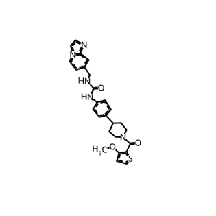 COc1ccsc1C(=O)N1CCC(c2ccc(NC(=O)NCc3ccn4ccnc4c3)cc2)CC1